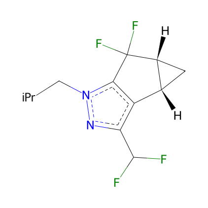 CC(C)Cn1nc(C(F)F)c2c1C(F)(F)[C@@H]1C[C@H]21